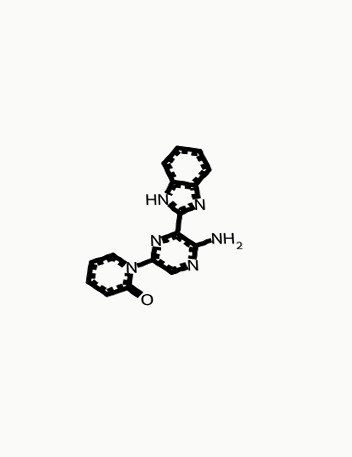 Nc1ncc(-n2ccccc2=O)nc1-c1nc2ccccc2[nH]1